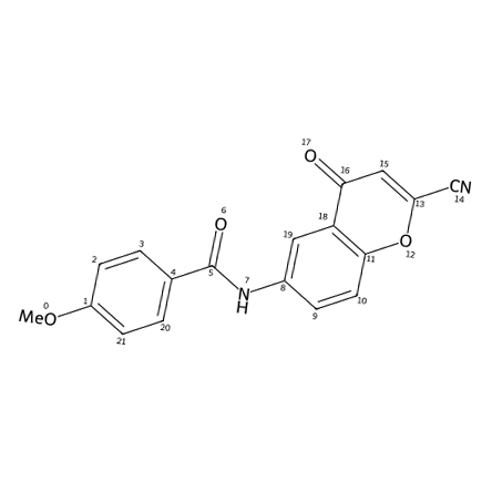 COc1ccc(C(=O)Nc2ccc3oc(C#N)cc(=O)c3c2)cc1